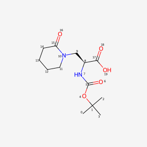 CC(C)(C)OC(=O)N[C@@H](CN1CCCCC1=O)C(=O)O